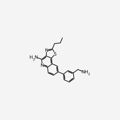 CCCc1nc2c(N)nc3ccc(-c4cccc(CN)c4)cc3c2s1